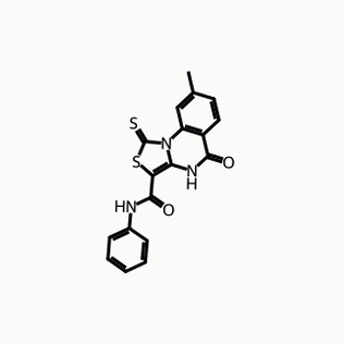 Cc1ccc2c(=O)[nH]c3c(C(=O)Nc4ccccc4)sc(=S)n3c2c1